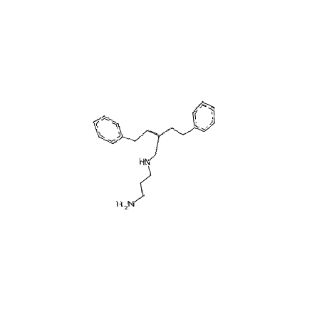 NCCCNCC(CCc1ccccc1)CCc1ccccc1